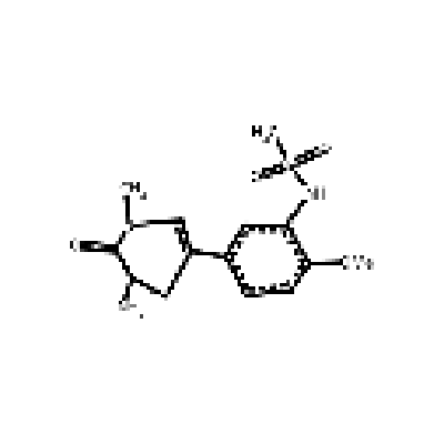 COc1ccc(C2=CN(C)C(=O)C(N)C2)cc1NS(C)(=O)=O